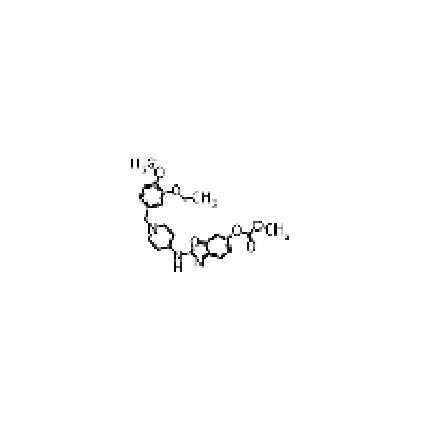 CCOc1cc(CN2CCC(Nc3nc4ccc(OC(=O)OC)cc4o3)CC2)ccc1OC